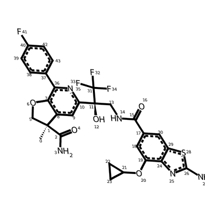 C[C@]1(C(N)=O)COc2c1cc([C@@](O)(CNC(=O)c1cc(OC3CC3)c3nc(N)sc3c1)C(F)(F)F)nc2-c1ccc(F)cc1